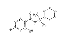 CC(C)(OC(=O)c1ccc(Cl)cc1O)C1CCNCC1